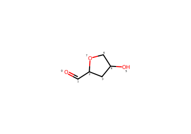 O=CC1CC(O)CO1